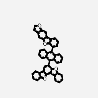 c1ccc2c(c1)oc1c2cc(-c2c3ccccc3c(-c3cccc4c3oc3cc5ccoc5cc34)c3ccccc23)c2oc3ccccc3c21